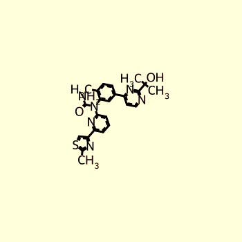 Cc1nc(-c2cccc(N(C(N)=O)c3cc(-c4ccnc(C(C)(C)O)n4)ccc3C)n2)cs1